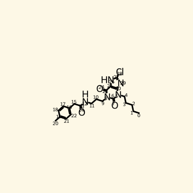 CCCCCn1c(=O)n(CCCNC(=O)Cc2ccc(C)cc2)c(=O)c2[nH]c(Cl)nc21